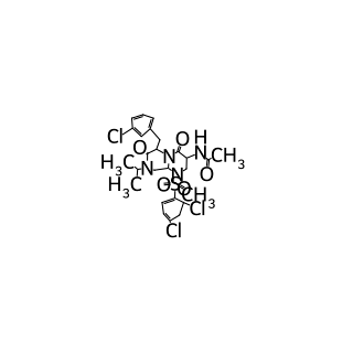 CC(=O)NC1CN(S(=O)(=O)C2=CC=C(Cl)CC2(C)Cl)C2CN(C(C)C)C(=O)C(Cc3cccc(Cl)c3)N2C1=O